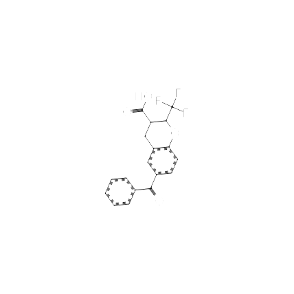 O=C(c1ccccc1)c1ccc2c(c1)CC(C(=O)O)C(C(F)(F)F)O2